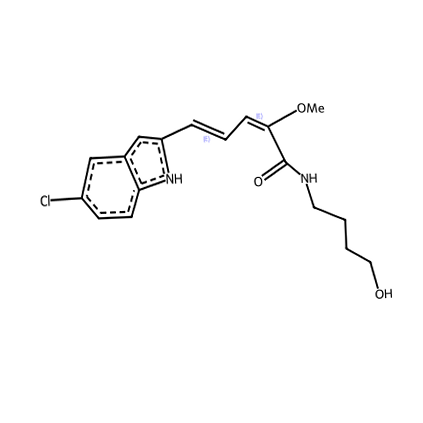 CO/C(=C/C=C/c1cc2cc(Cl)ccc2[nH]1)C(=O)NCCCCO